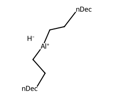 CCCCCCCCCCC[CH2][Al+][CH2]CCCCCCCCCCC.[H-]